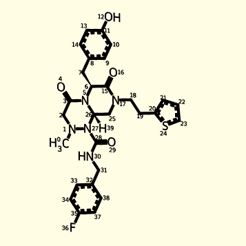 CN1CC(=O)N2[C@@H](Cc3ccc(O)cc3)C(=O)N(CCc3cccs3)C[C@@H]2N1C(=O)NCc1ccc(F)cc1